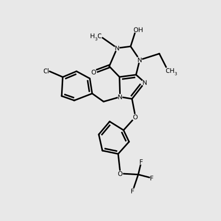 CCN1c2nc(Oc3cccc(OC(F)(F)F)c3)n(Cc3ccc(Cl)cc3)c2C(=O)N(C)C1O